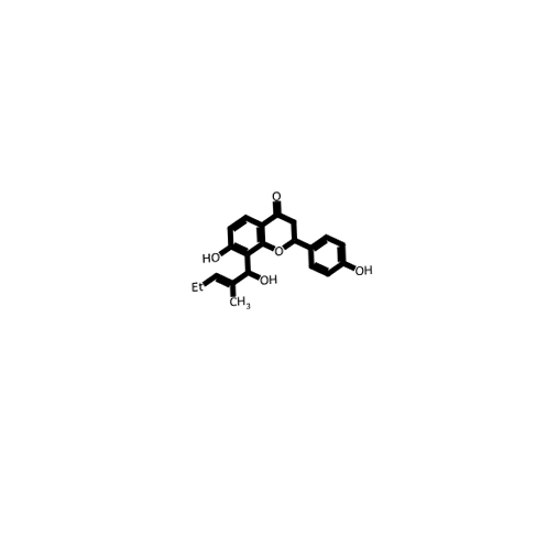 CCC=C(C)C(O)c1c(O)ccc2c1OC(c1ccc(O)cc1)CC2=O